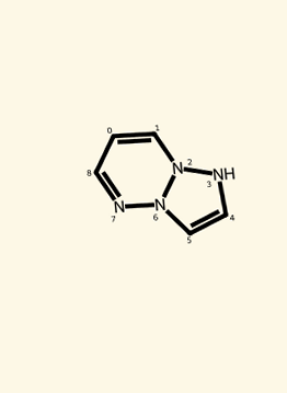 C1=CN2NC=CN2N=C1